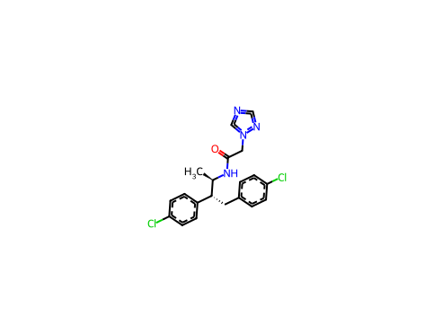 C[C@@H](NC(=O)Cn1cncn1)[C@H](Cc1ccc(Cl)cc1)c1ccc(Cl)cc1